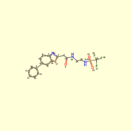 O=C(Cc1nc2ccc(-c3ccccc3)cc2s1)NCCNS(=O)(=O)C(F)(F)F